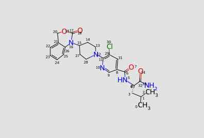 CC(C)C[C@H](NC(=O)c1cnc(N2CCC(N3C(=O)OCc4ccccc43)CC2)c(Cl)c1)C(N)=O